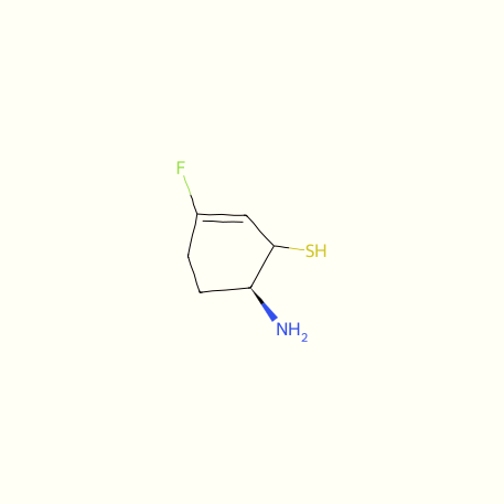 N[C@H]1CCC(F)=CC1S